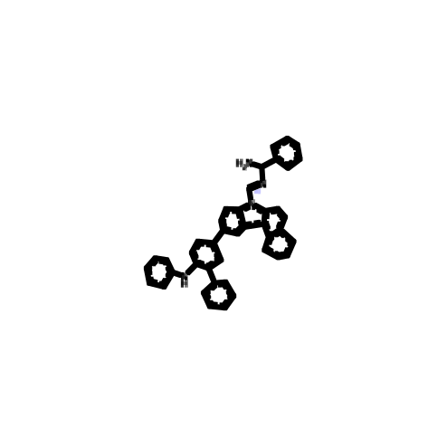 NC(/N=C/n1c2ccc(-c3ccc(Nc4ccccc4)c(-c4ccccc4)c3)cc2c2c3ccccc3ccc21)c1ccccc1